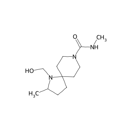 CNC(=O)N1CCC2(CCC(C)N2CO)CC1